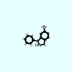 Brc1ccc2c(c1)C(c1ccccc1)NC2